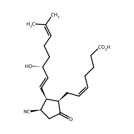 CC(C)=CCC[C@@H](O)/C=C/[C@@H]1[C@H](C#N)CC(=O)[C@@H]1C/C=C\CCCC(=O)O